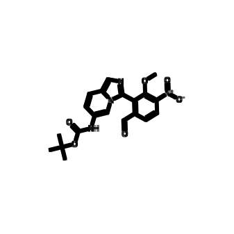 COc1c([N+](=O)[O-])ccc(C=O)c1-c1ncc2ccc(NC(=O)OC(C)(C)C)cn12